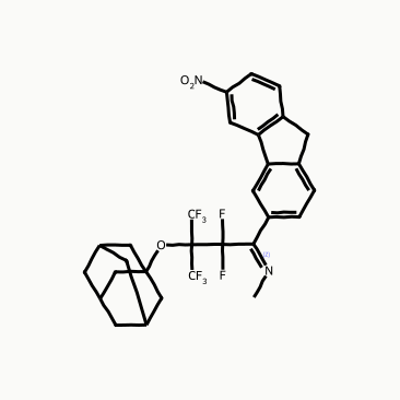 C/N=C(/c1ccc2c(c1)-c1cc([N+](=O)[O-])ccc1C2)C(F)(F)C(OC12CC3CC(CC(C3)C1)C2)(C(F)(F)F)C(F)(F)F